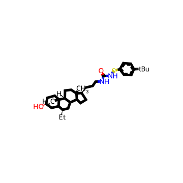 CC[C@H]1CC2C3CC[C@H](CCCNC(=O)NSc4ccc(C(C)(C)C)cc4)C3(C)CC[C@@H]2C2(C)CC[C@@H](O)CC12